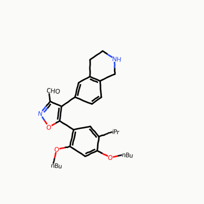 CCCCOc1cc(OCCCC)c(C(C)C)cc1-c1onc(C=O)c1-c1ccc2c(c1)CCNC2